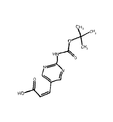 CC(C)(C)OC(=O)Nc1ncc(/C=C\C(=O)O)cn1